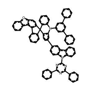 c1ccc(-c2cc(-c3ccccc3)cc(N3c4ccccc4C4(c5ccccc5-c5c4ccc4oc6ccccc6c54)c4ccc(-c5ccc6c(c5)c5ccccc5n6-c5nc(-c6ccccc6)nc(-c6ccccc6)n5)cc43)c2)cc1